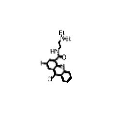 CCN(CC)CCNC(=O)c1cc(I)cc2c(Cl)c3ccccc3nc12